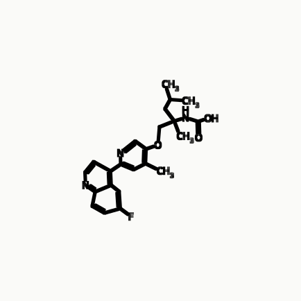 Cc1cc(-c2ccnc3ccc(F)cc23)ncc1OCC(C)(CC(C)C)NC(=O)O